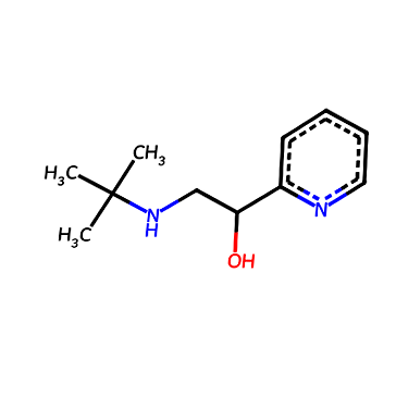 CC(C)(C)NCC(O)c1ccccn1